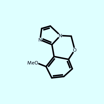 COc1cccc2c1-c1nccn1CO2